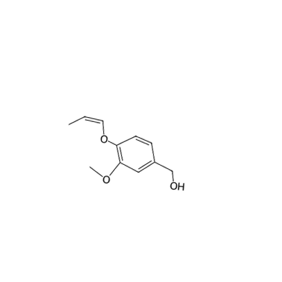 C/C=C\Oc1ccc(CO)cc1OC